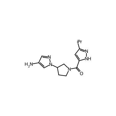 CC(C)c1cc(C(=O)N2CCC(n3cc(N)cn3)C2)[nH]n1